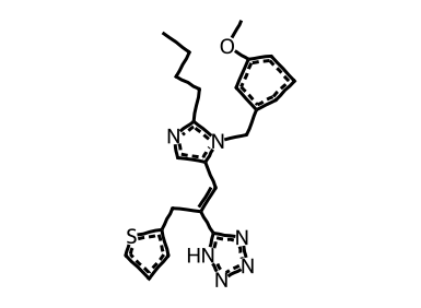 CCCCc1ncc(/C=C(\Cc2cccs2)c2nnn[nH]2)n1Cc1cccc(OC)c1